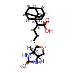 O=C1N[C@H]2[C@H](CS[C@H]2CCCC(C(=O)O)C23CC4CC(CC(C4)C2)C3)N1